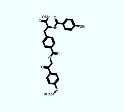 CCCCCCCOc1ccc(C(=O)COC(=O)c2ccc(CC(NC(=O)c3ccc(C(C)(C)C)cc3)C(=O)OC)cc2)cc1